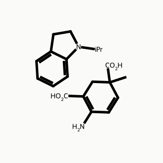 CC(C)N1CCc2ccccc21.CC1(C(=O)O)C=CC(N)=C(C(=O)O)C1